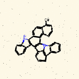 N#Cc1cccc2c1ccc1c3[nH]c4ccccc4c3c3c4cccc5c6ccccc6n(c54)c3c21